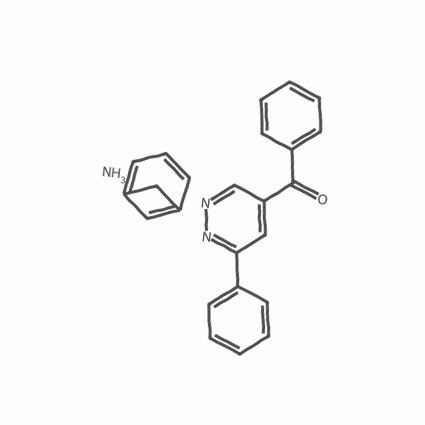 N.O=C(c1ccccc1)c1cnnc(-c2ccccc2)c1.c1cc2cc(c1)C2